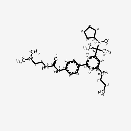 CN(C)CCNC(=O)Nc1ccc(-c2nc(NCCO)cc(C(C)(C)[S+]([O-])C3CCCC3)n2)cc1